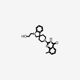 Cc1cccc2c(=O)[nH]c(N3CCC4(CC3)CN(CCO)c3ccccc34)nc12